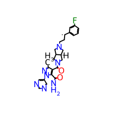 Cc1nn(-c2cncnc2)c(C(N)=O)c1C(=O)N1CC2CN(CC[CH]c3cccc(F)c3)C[C@H]2C1